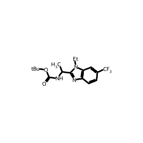 CCn1c(C(C)NC(=O)OC(C)(C)C)nc2ccc(C(F)(F)F)cc21